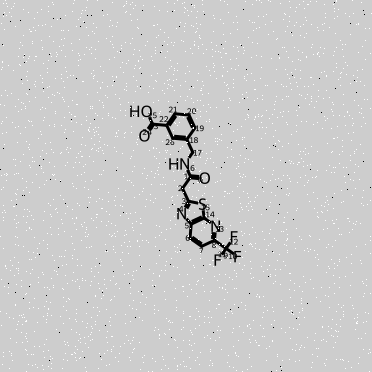 O=C(Cc1nc2ccc(C(F)(F)F)nc2s1)NCc1cccc(C(=O)O)c1